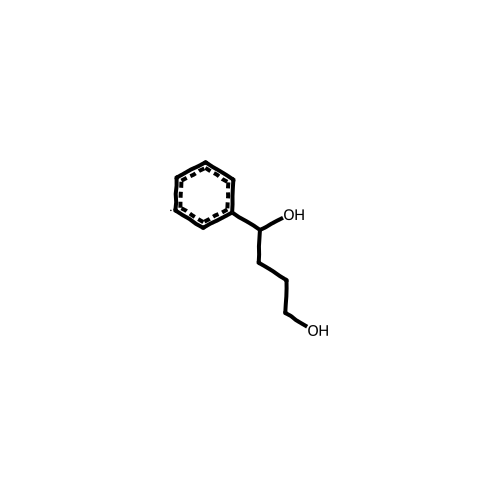 OCCCC(O)c1c[c]ccc1